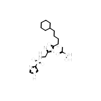 O=C(C[C@@H](CCCC1CCCCC1)c1nc(CNS(=O)(=O)c2c[nH]cn2)no1)NO